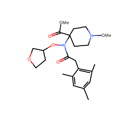 COC(=O)C1(N(OC2CCOC2)C(=O)Cc2c(C)cc(C)cc2C)CCN(OC)CC1